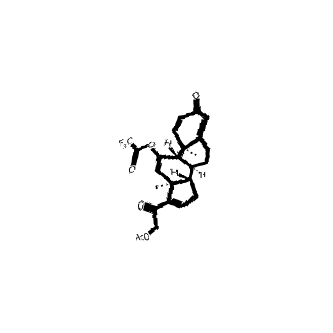 CC(=O)OCC(=O)C1=CC[C@H]2[C@@H]3CCC4=CC(=O)C=C[C@]4(C)[C@H]3C(OC(=O)C(F)(F)F)C[C@]12C